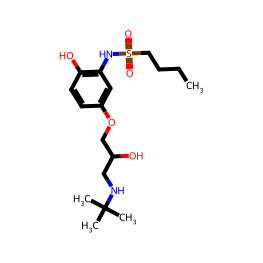 CCCCS(=O)(=O)Nc1cc(OCC(O)CNC(C)(C)C)ccc1O